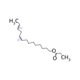 C/C=C/C/C=C\CCCCCCCCOC(=O)CC